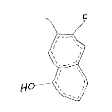 Cc1cc2c(O)cccc2cc1F